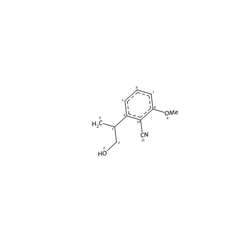 [CH2]C(CO)c1cccc(OC)c1C#N